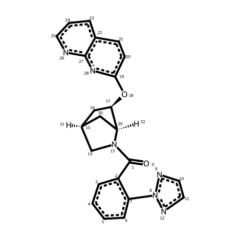 O=C(c1ccccc1-n1nccn1)N1C[C@H]2C[C@@H](Oc3ccc4cccnc4n3)[C@@H]1C2